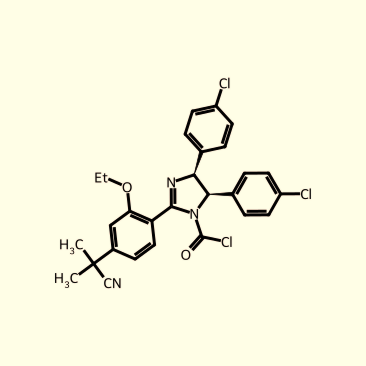 CCOc1cc(C(C)(C)C#N)ccc1C1=N[C@@H](c2ccc(Cl)cc2)[C@@H](c2ccc(Cl)cc2)N1C(=O)Cl